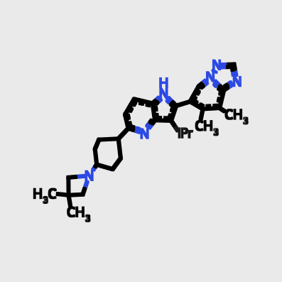 Cc1c(-c2[nH]c3ccc(C4CCC(N5CC(C)(C)C5)CC4)nc3c2C(C)C)cn2ncnc2c1C